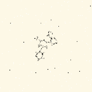 COc1ccccc1C(CC(C)O)OCc1ccccc1